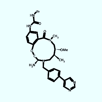 CO[C@H]1CN(C)C(=O)c2cc(NC(=O)NC(C)C)ccc2OC[C@H](N)N(Cc2ccc(-c3cncnc3)cc2)C[C@@H]1C